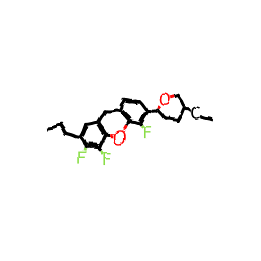 CCCc1cc2c(c(F)c1F)Oc1c(ccc(C3CCC(CCC)CO3)c1F)C2